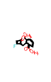 O=C(O)c1cccc(C(=O)O)c1CC1CCC1F